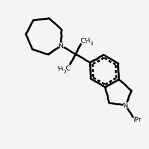 CC(C)N1Cc2ccc(C(C)(C)N3CCCCCC3)cc2C1